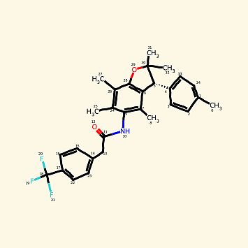 Cc1ccc([C@@H]2c3c(C)c(NC(=O)Cc4ccc(C(F)(F)F)cc4)c(C)c(C)c3OC2(C)C)cc1